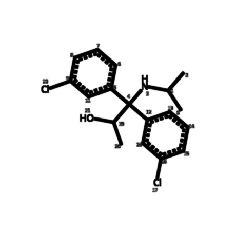 CC(C)NC(c1cccc(Cl)c1)(c1cccc(Cl)c1)C(C)O